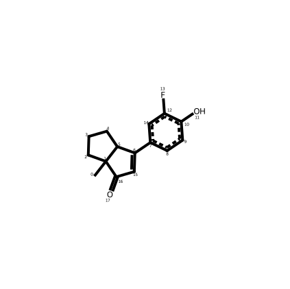 CC12CCCC1C(c1ccc(O)c(F)c1)=CC2=O